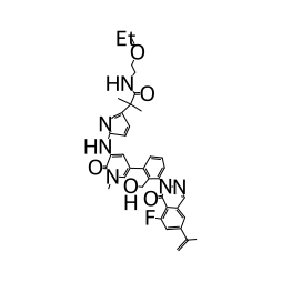 C=C(C)c1cc(F)c2c(=O)n(-c3cccc(-c4cc(Nc5ccc(C(C)(C)C(=O)NCCOCC)cn5)c(=O)n(C)c4)c3CO)ncc2c1